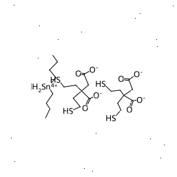 CCC[CH2][SnH2+4][CH2]CCC.O=C([O-])CC(CCS)(CCS)C(=O)[O-].O=C([O-])CC(CCS)(CCS)C(=O)[O-]